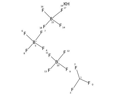 FC(F)F.F[B-](F)(F)F.F[B-](F)(F)F.F[B-](F)(F)F.[KH]